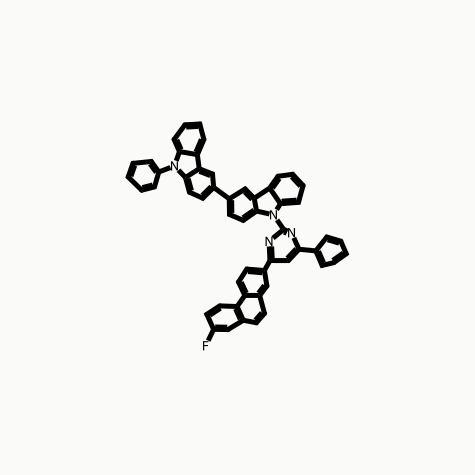 Fc1ccc2c(ccc3cc(-c4cc(-c5ccccc5)nc(-n5c6ccccc6c6cc(-c7ccc8c(c7)c7ccccc7n8-c7ccccc7)ccc65)n4)ccc32)c1